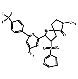 Cc1cc(-c2ccc(C(F)(F)F)cc2)nc(C2NC3(CCN(C)C3=O)CC2S(=O)(=O)c2ccccc2)n1